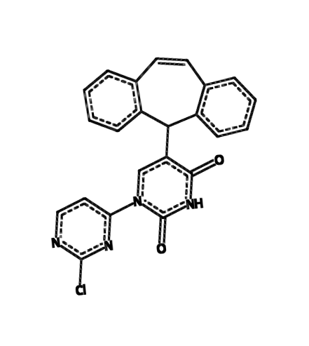 O=c1[nH]c(=O)n(-c2ccnc(Cl)n2)cc1C1c2ccccc2C=Cc2ccccc21